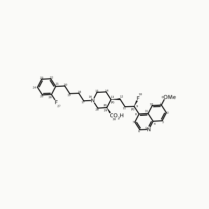 COc1ccc2nccc([C@H](F)CC[C@@H]3CCN(CCCCc4ccccc4F)C[C@@H]3C(=O)O)c2c1